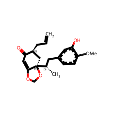 C=CC[C@H]1C[C@]2([C@@H](C)Cc3ccc(OC)c(O)c3)OCOC2=CC1=O